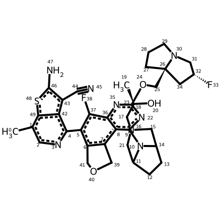 Cc1cnc(-c2c3c(c4c(N5C6CCC5CN(C[C@@H](C)O)C6)nc(OC[C@@]56CCCN5C[C@H](F)C6)nc4c2F)COC3)c2c(C#N)c(N)sc12